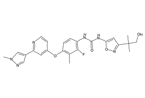 Cc1c(Oc2ccnc(-c3cnn(C)c3)c2)ccc(NC(=O)Nc2cc(C(C)(C)CO)no2)c1F